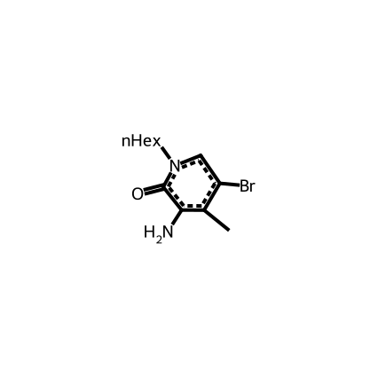 CCCCCCn1cc(Br)c(C)c(N)c1=O